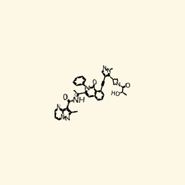 Cc1nn2cccnc2c1C(=O)N[C@@H](C)c1cc2cccc(C#Cc3cnn(C)c3C3CN(C(=O)C(C)O)C3)c2c(=O)n1-c1ccccc1